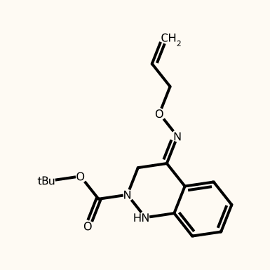 C=CCO/N=C1\CN(C(=O)OC(C)(C)C)Nc2ccccc21